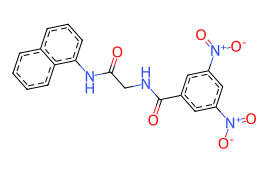 O=C(CNC(=O)c1cc([N+](=O)[O-])cc([N+](=O)[O-])c1)Nc1cccc2ccccc12